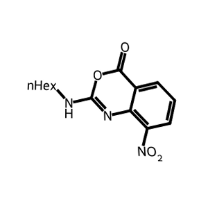 CCCCCCNc1nc2c([N+](=O)[O-])cccc2c(=O)o1